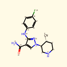 N#C[C@@H]1CCNC[C@H]1n1cc(C(N)=O)c(Nc2ccc(F)cc2)n1